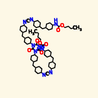 CCCCOC(=O)NC1CCC(CC2CCC(N=C=NC3CCC(CC4CCC(n5c(=O)[nH]c(=O)n(C6CCC(CC7CCC(N=C=NC8CCC(CC9CCC(NC(=O)OCCCC)CC9)CC8)CC7)CC6)c5=O)CC4)CC3)CC2)CC1